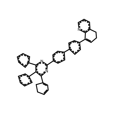 C1=CCCC(c2nc(-c3ccc(-c4ccc(C5=CCCc6cccnc65)cc4)cc3)nc(-c3ccccc3)c2-c2ccccc2)=C1